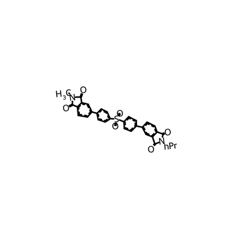 CCCN1C(=O)c2ccc(-c3ccc(S(=O)(=O)c4ccc(-c5ccc6c(c5)C(=O)N(C)C6=O)cc4)cc3)cc2C1=O